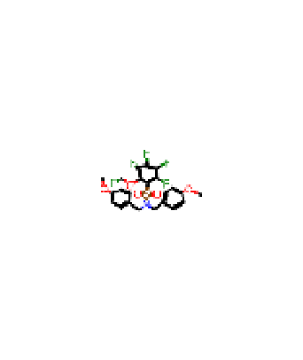 COc1ccc(CN(Cc2ccc(OC)cc2)S(=O)(=O)c2c(F)c(F)c(F)c(F)c2OCF)cc1